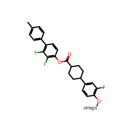 CCCCCCCOc1ccc(C2CCC(C(=O)Oc3ccc(-c4ccc(C)cc4)c(F)c3F)CC2)cc1F